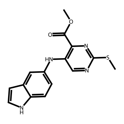 COC(=O)c1nc(SC)ncc1Nc1ccc2[nH]ccc2c1